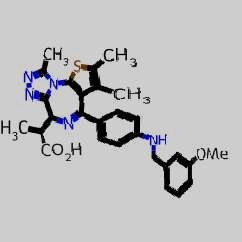 COc1cccc(CNc2ccc(C3=NC([C@H](C)C(=O)O)c4nnc(C)n4-c4sc(C)c(C)c43)cc2)c1